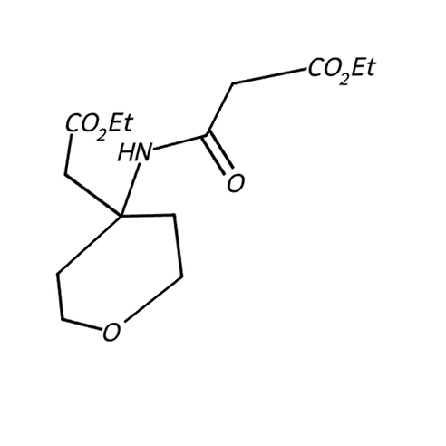 CCOC(=O)CC(=O)NC1(CC(=O)OCC)CCOCC1